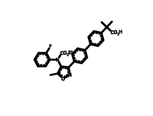 CCOC(=O)N(c1ccccc1F)c1c(-c2ccc(-c3ccc(C(C)(C)C(=O)O)cc3)cc2)noc1C